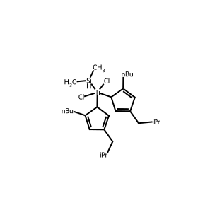 CCCCC1=CC(CC(C)C)=C[CH]1[Ti]([Cl])([Cl])([CH]1C=C(CC(C)C)C=C1CCCC)[SiH](C)C